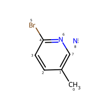 Cc1ccc(Br)nc1.[N]